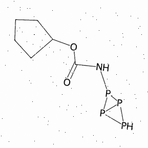 O=C(Np1p2[pH]p12)OC1CCCC1